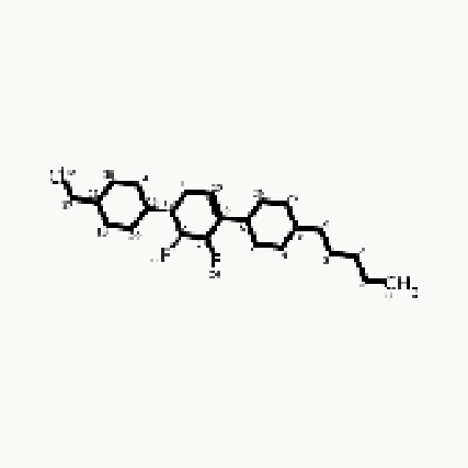 CCCCCC1CCC(C2=CC[C@H](C3CCC(CCl)CC3)[C@H](F)C2F)CC1